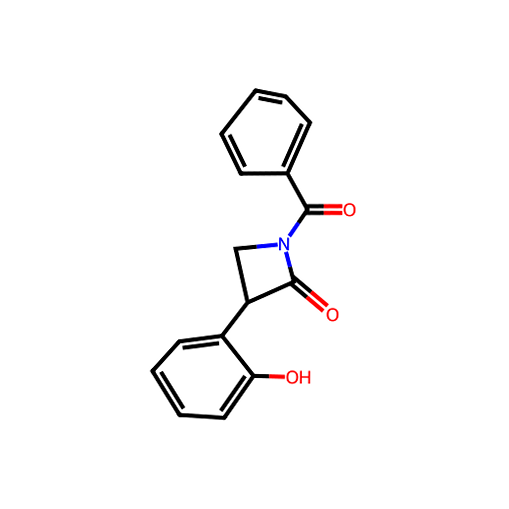 O=C(c1ccccc1)N1CC(c2ccccc2O)C1=O